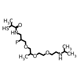 CC(C)NCCOCCOC(C)COCC(F)CNC(=O)C(C)S